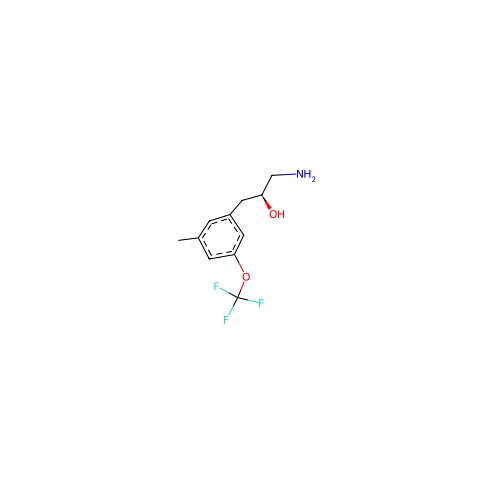 Cc1cc(C[C@H](O)CN)cc(OC(F)(F)F)c1